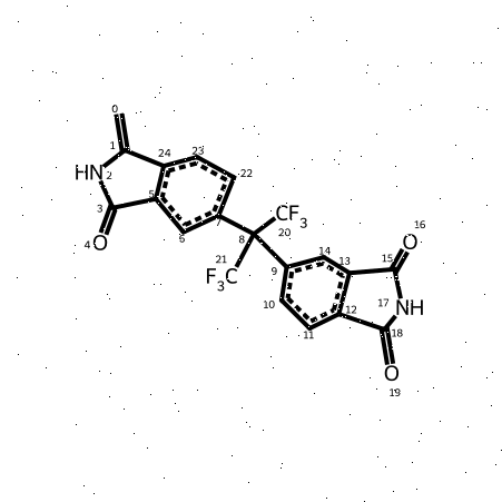 C=C1NC(=O)c2cc(C(c3ccc4c(c3)C(=O)NC4=O)(C(F)(F)F)C(F)(F)F)ccc21